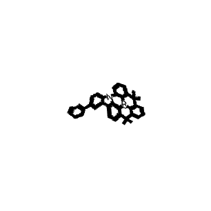 CC1(C)c2cccc3c2B2c4c1cccc4C(C)(C)c1ccc4c5cc(-c6ccccc6)ccc5n-3c4c12